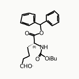 CC(C)COC(=O)N[C@H](CCC[C]=O)C(=O)OC(c1ccccc1)c1ccccc1